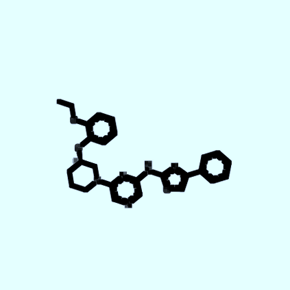 CCOc1ccccc1O[C@@H]1CCCN(c2cncc(Nc3nc(-c4ccccc4)co3)n2)C1